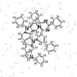 c1ccc(-c2cc(-c3nc(-c4ccccc4)nc(-c4ccccc4)n3)cc(-n3c4cc5c(ccn5-c5ccccc5)cc4c4ccc5c(c6ccccc6n5-c5ccccc5)c43)c2)cc1